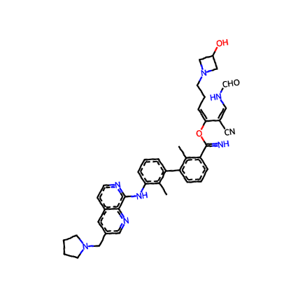 Cc1c(Nc2nccc3cc(CN4CCCC4)cnc23)cccc1-c1cccc(C(=N)OC(=C/CCN2CC(O)C2)/C(C#N)=C\NC=O)c1C